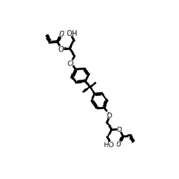 C=CC(=O)OC(CO)COc1ccc(C(C)(C)c2ccc(OCC(CO)OC(=O)C=C)cc2)cc1